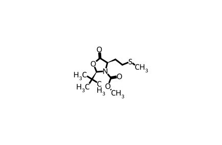 COC(=O)N1[C@H](CCSC)C(=O)O[C@@H]1C(C)(C)C